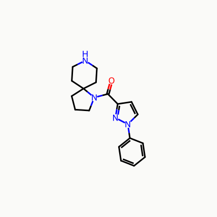 O=C(c1ccn(-c2ccccc2)n1)N1CCCC12CCNCC2